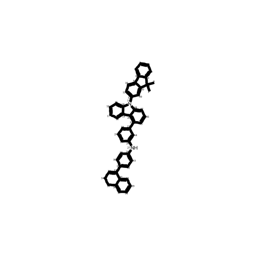 CC1(C)c2ccccc2-c2ccc(-n3c4ccccc4c4c(-c5cccc(Nc6ccc(C7=CCCc8ccccc87)cc6)c5)cccc43)cc21